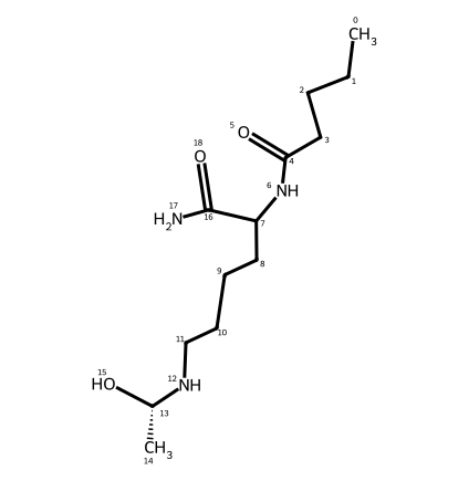 CCCCC(=O)NC(CCCCN[C@H](C)O)C(N)=O